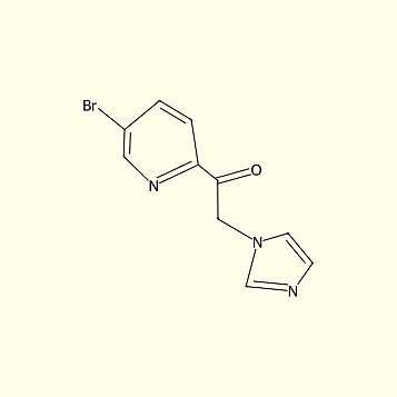 O=C(Cn1ccnc1)c1ccc(Br)cn1